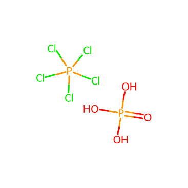 ClP(Cl)(Cl)(Cl)Cl.O=P(O)(O)O